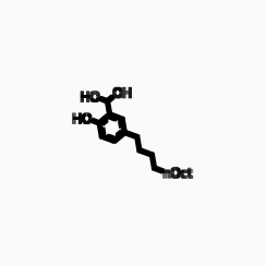 CCCCCCCCCCCCc1ccc(O)c(C(O)O)c1